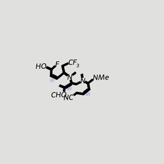 CNC(/C=C\CC#N)N(C)C/C(=C(/C)C=O)N(C)C(/C=C\C(O)F)CC(F)(F)F